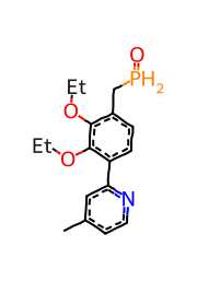 CCOc1c(C[PH2]=O)ccc(-c2cc(C)ccn2)c1OCC